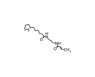 CC=CC(=O)NCCCNC(=O)CCCCCC1CCSS1